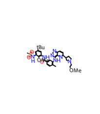 COCCN1CCC(c2ccc3ncnc(Nc4cc(C(=O)Nc5cc(C(C)(C)C)cc(NS(C)(=O)=O)c5OC)ccc4C)c3n2)C1